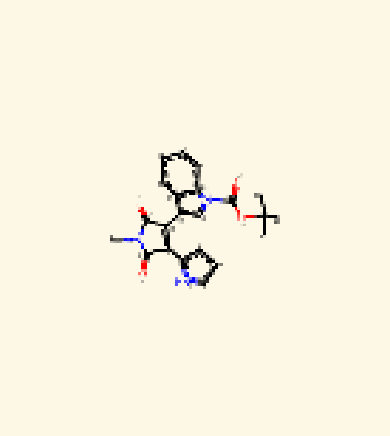 CN1C(=O)C(c2ccc[nH]2)=C(c2cn(C(=O)OC(C)(C)C)c3ccccc23)C1=O